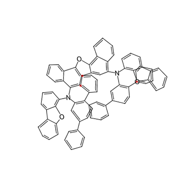 c1ccc(-c2ccc(-c3ccccc3)c(N(c3cc4c5cc(N(c6cc(-c7ccccc7)ccc6-c6ccccc6)c6cccc7c6oc6ccccc67)c6ccccc6c5oc4c4ccccc34)c3cccc4c3oc3ccccc34)c2)cc1